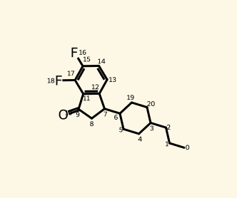 CCCC1CCC(C2CC(=O)c3c2ccc(F)c3F)CC1